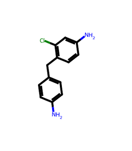 Nc1ccc(Cc2ccc(N)cc2Cl)cc1